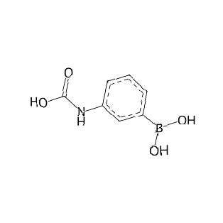 O=C(O)Nc1cccc(B(O)O)c1